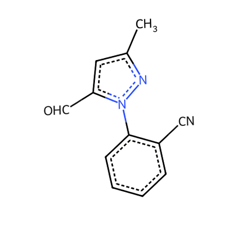 Cc1cc(C=O)n(-c2ccccc2C#N)n1